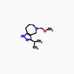 COCN1CCCc2[nH]nc(C(C)C)c2C1